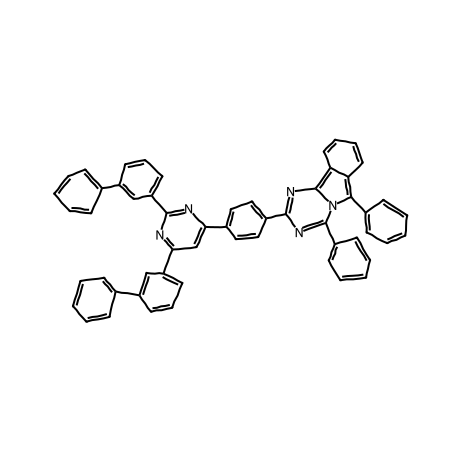 c1ccc(-c2cccc(-c3cc(-c4ccc(-c5nc(-c6ccccc6)n6c(-c7ccccc7)c7ccccc7c6n5)cc4)nc(-c4cccc(-c5ccccc5)c4)n3)c2)cc1